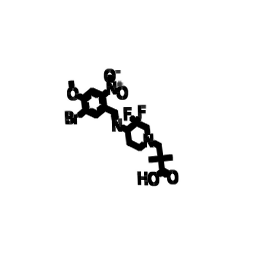 COc1cc([N+](=O)[O-])c(C=NC2CCN(CC(C)(C)C(=O)O)CC2(F)F)cc1Br